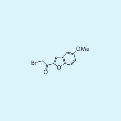 COc1ccc2oc(C(=O)CBr)cc2c1